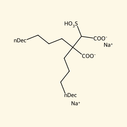 CCCCCCCCCCCCCC(CCCCCCCCCCCCC)(C(=O)[O-])C(C(=O)[O-])S(=O)(=O)O.[Na+].[Na+]